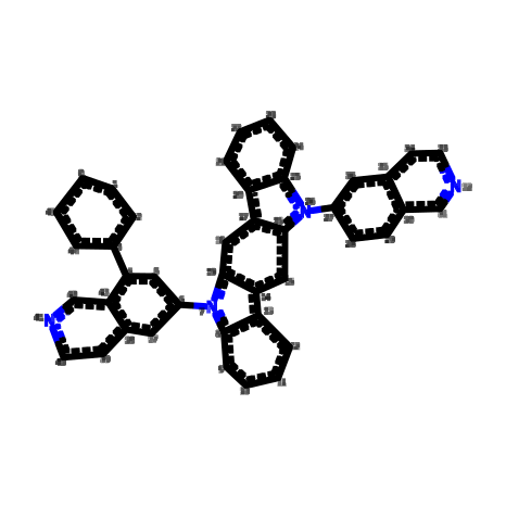 c1ccc(-c2cc(-n3c4ccccc4c4cc5c(cc43)c3ccccc3n5-c3ccc4cnccc4c3)cc3ccncc23)cc1